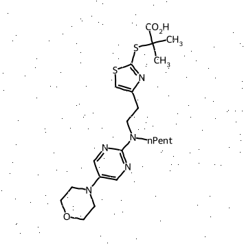 CCCCCN(CCc1csc(SC(C)(C)C(=O)O)n1)c1ncc(N2CCOCC2)cn1